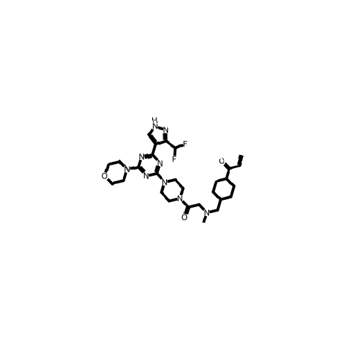 C=CC(=O)C1CCC(CN(C)CC(=O)N2CCN(c3nc(-c4c[nH]nc4C(F)F)nc(N4CCOCC4)n3)CC2)CC1